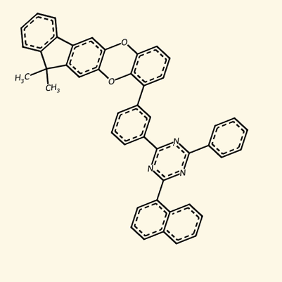 CC1(C)c2ccccc2-c2cc3c(cc21)Oc1c(cccc1-c1cccc(-c2nc(-c4ccccc4)nc(-c4cccc5ccccc45)n2)c1)O3